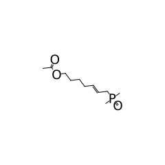 CC(=O)OCCCCC=CCP(C)(C)=O